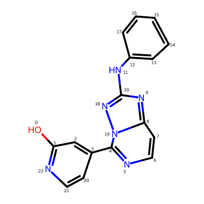 Oc1cc(-c2nccc3nc(Nc4ccccc4)nn23)ccn1